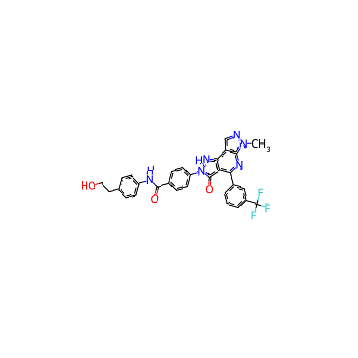 Cn1ncc2c3[nH]n(-c4ccc(C(=O)Nc5ccc(CCO)cc5)cc4)c(=O)c3c(-c3cccc(C(F)(F)F)c3)nc21